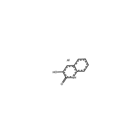 O=c1[nH]c2ccccc2cc1O.[Al]